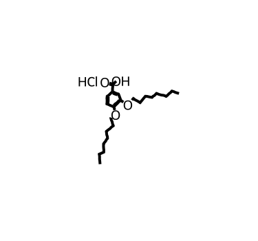 CCCCCCCCOc1ccc(C(=O)O)cc1OCCCCCCCC.Cl